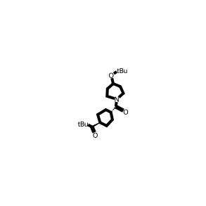 CC(C)(C)OC1CCN(C(=O)[C@H]2CC[C@H](C(=O)C(C)(C)C)CC2)CC1